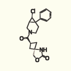 O=C1N[C@]2(CO1)C[C@H](C(=O)N1CCC3(c4ccccc4)C(Cl)C3C1)C2